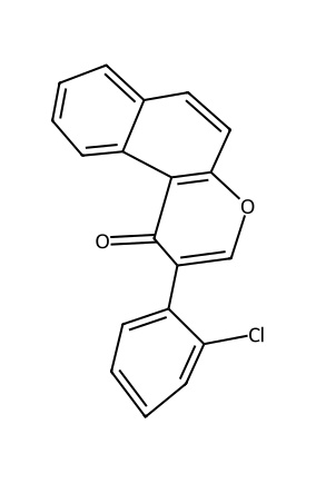 O=c1c(-c2ccccc2Cl)coc2ccc3ccccc3c12